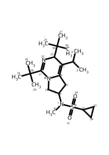 CC(C)C1=C2CC(N(C)S(=O)(=O)C3CC3)CN2C(C(C)(C)C)=NC1C(C)(C)C